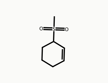 CS(=O)(=O)C1C=CCCC1